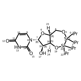 CC(C)[Si]1(C(C)C)OC[C@H]2O[C@@H](n3ccc(=O)[nH]c3=O)[C@H](O)[C@@H]2O[Si]1(C(C)C)C(C)C